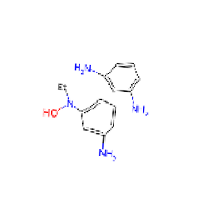 CCN(O)c1cccc(N)c1.Nc1cccc(N)c1